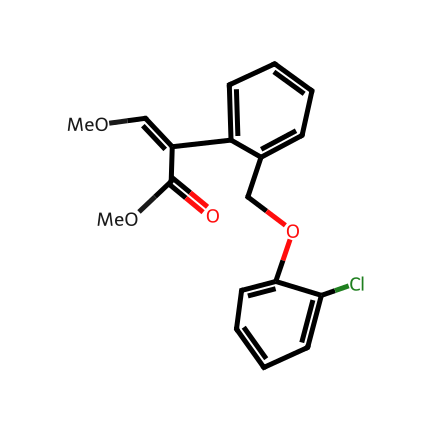 COC=C(C(=O)OC)c1ccccc1COc1ccccc1Cl